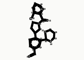 O=Cc1ccc(C2CCN(C(=O)c3ncccc3Cl)C2)c(C2OCCCO2)c1